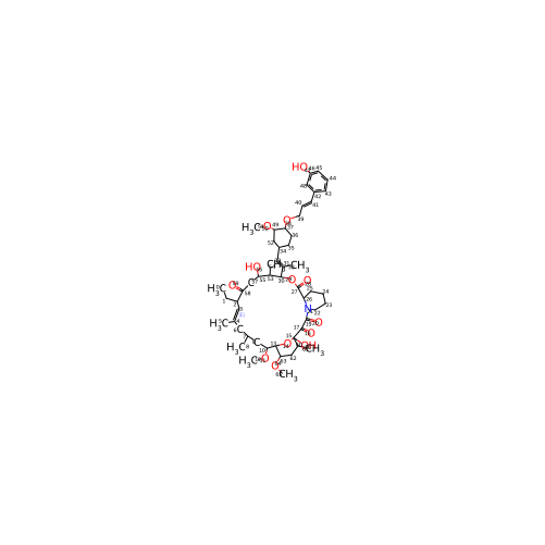 CCC1/C=C(\C)CC(C)CC(OC)C2OC(O)(C(=O)C(=O)N3CCCCC3C(=O)OC(C(C)=CC3CCC(OCC=Cc4cccc(O)c4)C(OC)C3)C(C)C(O)CC1=O)C(C)CC2OC